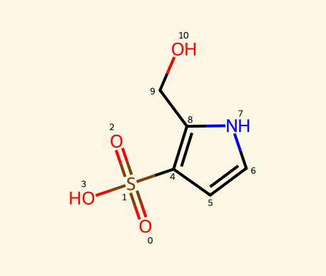 O=S(=O)(O)c1cc[nH]c1CO